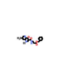 CCn1cc(C(=O)NCCC(=O)OCc2ccccc2)c(=O)c2ncc(C)cc21